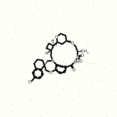 C[C@@H]1CO[C@@H]2CCO[C@@H](C2)[C@@H]2CC[C@H]2CN2C[C@@]3(CCCc4cc(Cl)ccc43)COc3ccc(cc32)C(=O)NS1(=O)=O